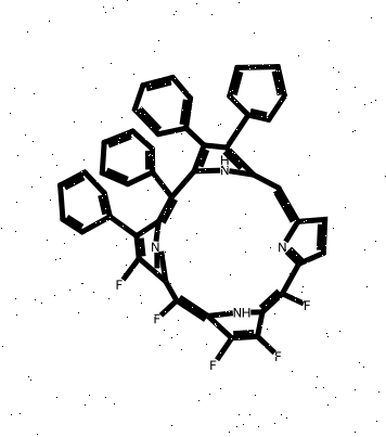 FC1=C(c2ccccc2)c2nc1c(F)c1[nH]c(c(F)c3nc(cc4[nH]c(c2-c2ccccc2)c(-c2ccccc2)c4-c2ccccc2)C=C3)c(F)c1F